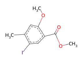 COC(=O)c1cc(I)c(C)cc1OC